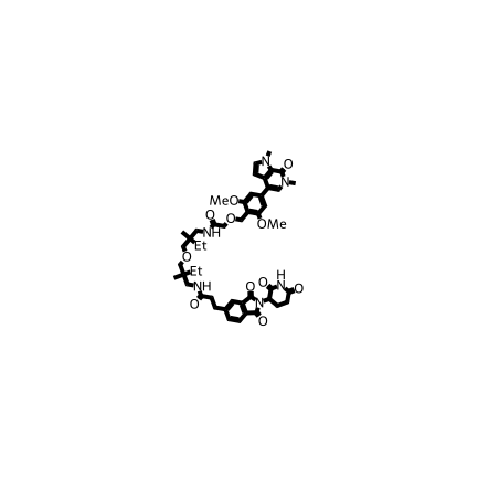 CCC(C)(CNC(=O)CCc1ccc2c(c1)C(=O)N(C1CCC(=O)NC1=O)C2=O)COCC(C)(CC)CNC(=O)COCc1c(OC)cc(-c2cn(C)c(=O)c3c2ccn3C)cc1OC